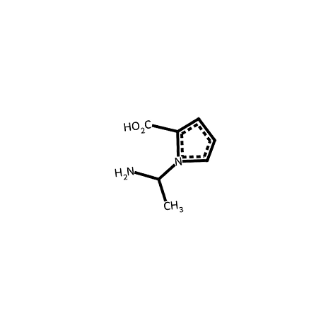 CC(N)n1cccc1C(=O)O